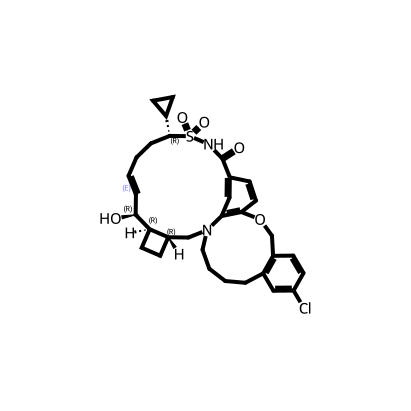 O=C1NS(=O)(=O)[C@@H](C2CC2)CC/C=C/[C@H](O)[C@@H]2CC[C@H]2CN2CCCCc3cc(Cl)ccc3COc3ccc1cc32